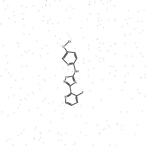 CCOc1ccc(Nc2nc(-c3ncccc3F)no2)nc1